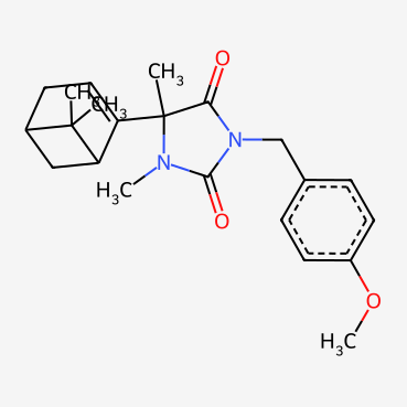 COc1ccc(CN2C(=O)N(C)C(C)(C3=CCC4CC3C4(C)C)C2=O)cc1